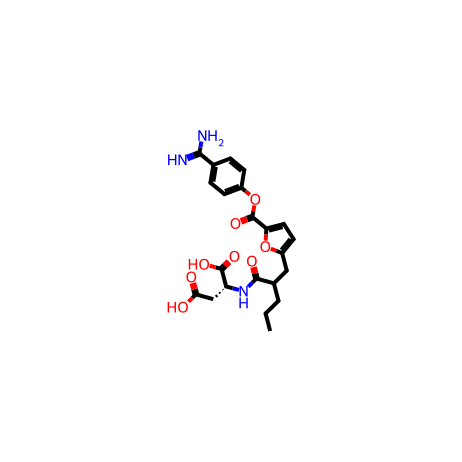 CCCC(Cc1ccc(C(=O)Oc2ccc(C(=N)N)cc2)o1)C(=O)N[C@H](CC(=O)O)C(=O)O